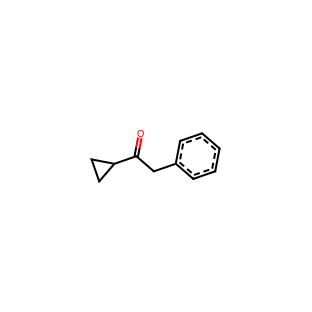 O=C(Cc1ccccc1)C1CC1